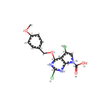 COc1ccc(COc2nc(Cl)nc3c2c(Br)cn3C(=O)O)cc1